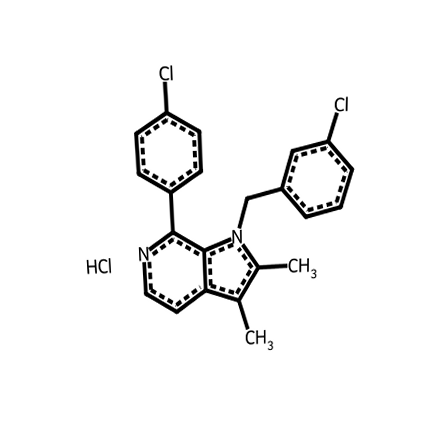 Cc1c(C)n(Cc2cccc(Cl)c2)c2c(-c3ccc(Cl)cc3)nccc12.Cl